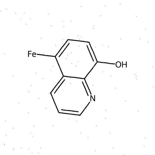 Oc1cc[c]([Fe])c2cccnc12